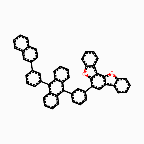 c1cc(-c2ccc3ccccc3c2)cc(-c2c3ccccc3c(-c3cccc(-c4cc5c6ccccc6oc5c5c4oc4ccccc45)c3)c3ccccc23)c1